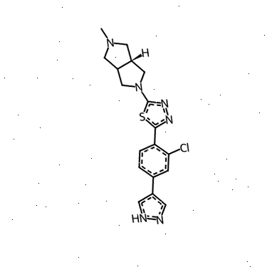 CN1CC2CN(c3nnc(-c4ccc(-c5cn[nH]c5)cc4Cl)s3)C[C@H]2C1